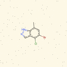 Cc1cc(Br)c(Cl)c2cn[nH]c12